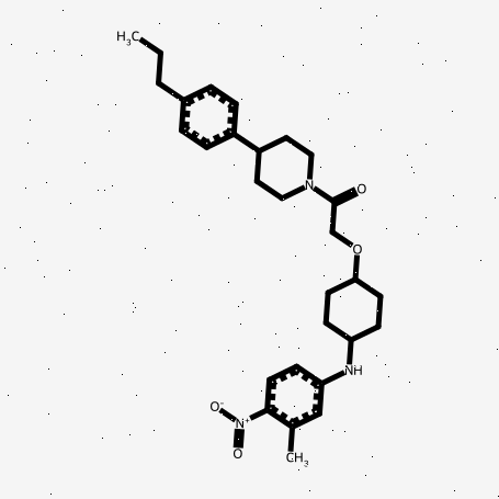 CCCc1ccc(C2CCN(C(=O)COC3CCC(Nc4ccc([N+](=O)[O-])c(C)c4)CC3)CC2)cc1